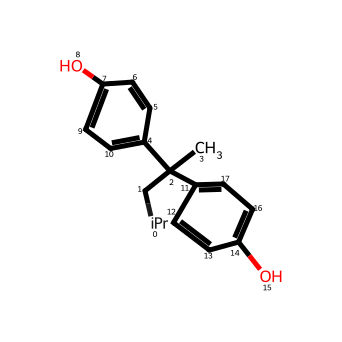 CC(C)CC(C)(c1ccc(O)cc1)c1ccc(O)cc1